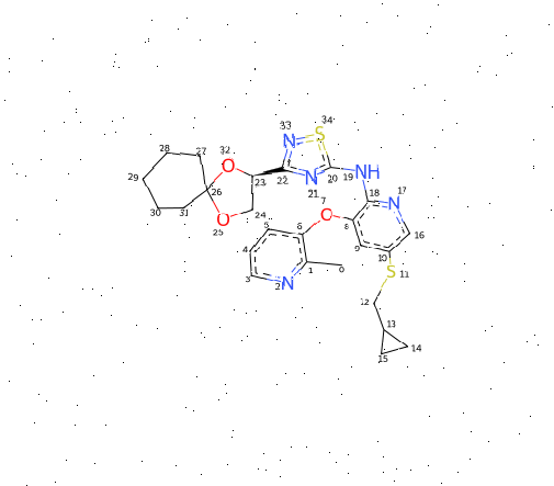 Cc1ncccc1Oc1cc(SCC2CC2)cnc1Nc1nc([C@H]2COC3(CCCCC3)O2)ns1